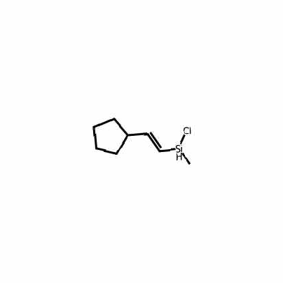 C[SiH](Cl)C=CC1CCCC1